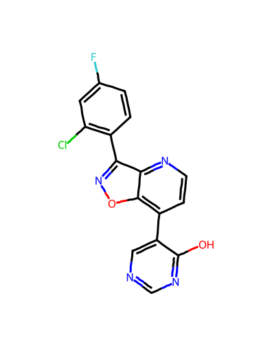 Oc1ncncc1-c1ccnc2c(-c3ccc(F)cc3Cl)noc12